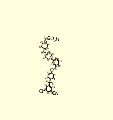 CC(C)(c1ccc(OCc2ccnc(N3CCN(CC4CCN(CC(=O)O)CC4)CC3)n2)cc1)c1cc(Cl)cc(C#N)c1